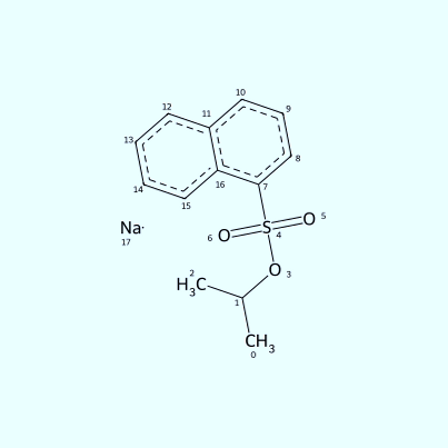 CC(C)OS(=O)(=O)c1cccc2ccccc12.[Na]